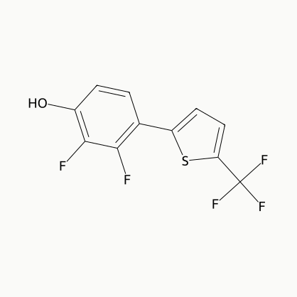 Oc1ccc(-c2ccc(C(F)(F)F)s2)c(F)c1F